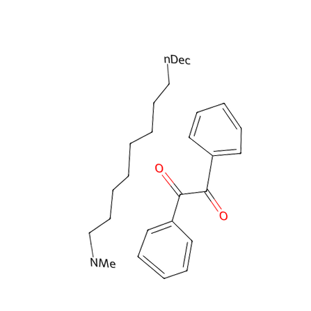 CCCCCCCCCCCCCCCCCCNC.O=C(C(=O)c1ccccc1)c1ccccc1